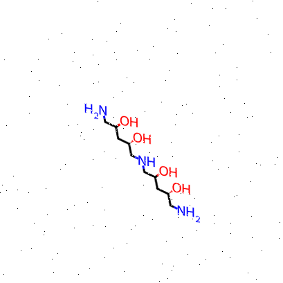 NCC(O)C[C@H](O)CNCC(O)C[C@H](O)CN